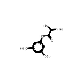 CCCCCCC(CCCC)C(=O)Nc1cc(C(=O)O)cc(C(=O)O)c1